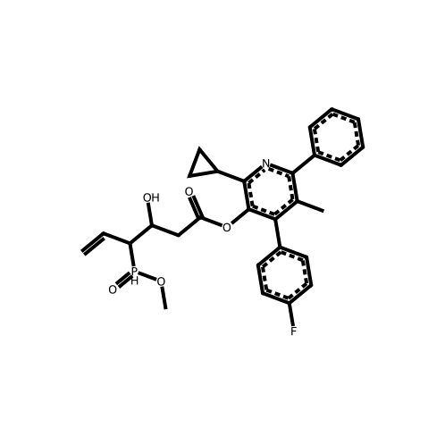 C=CC(C(O)CC(=O)Oc1c(C2CC2)nc(-c2ccccc2)c(C)c1-c1ccc(F)cc1)[PH](=O)OC